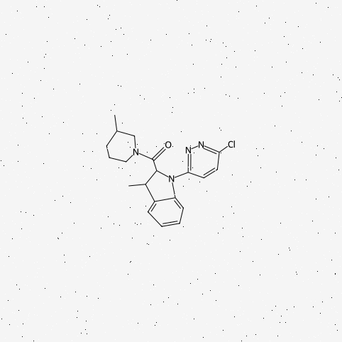 CC1CCCN(C(=O)C2C(C)c3ccccc3N2c2ccc(Cl)nn2)C1